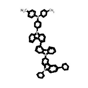 Cc1ccc(N(c2ccc(C)cc2)c2ccc(-n3c4ccccc4c4c(-c5cccc6c5c5ccccc5n6-c5ccc6c(c5)c5cc(-c7ccccc7)ccc5n6-c5ccccc5)cccc43)cc2)cc1